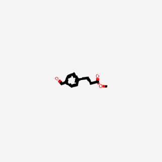 COC(=O)CCc1ccc(C=O)cc1